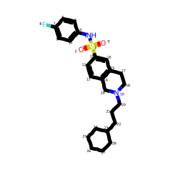 O=S(=O)(Nc1ccc(F)cc1)c1ccc2c(c1)CCN(CCCC1CCCCC1)C2